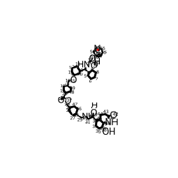 O=C(NC(c1ccccc1)c1cccc(OCc2ccc(C(=O)OCc3ccc(CNC[C@@H](O)c4ccc(O)c5[nH]c(=O)ccc45)cc3)cc2)c1)O[C@H]1CN2CCC1CC2